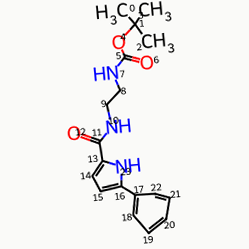 CC(C)(C)OC(=O)NCCNC(=O)c1ccc(-c2ccccc2)[nH]1